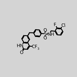 O=c1cc(C(F)(F)F)c2cc(Cc3ccc(S(=O)(=O)NCc4cccc(Cl)c4F)cc3)ccc2[nH]1